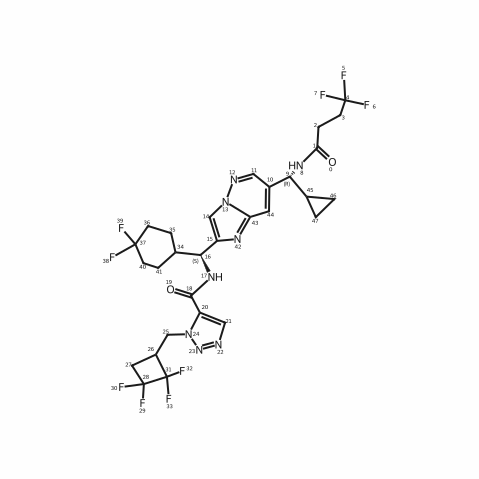 O=C(CCC(F)(F)F)N[C@@H](c1cnn2cc([C@@H](NC(=O)c3cnnn3CC3CC(F)(F)C3(F)F)C3CCC(F)(F)CC3)nc2c1)C1CC1